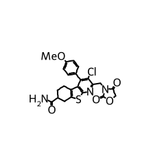 COc1ccc(-c2c(Cl)c(CN3C(=O)COC3=O)nc3sc4c(c23)CCC(C(N)=O)C4)cc1